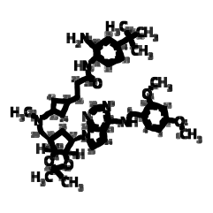 COc1ccc(CNc2ncnc3c2ccn3[C@@H]2C[C@H](CN(C)C3CC(CCC(=O)Nc4ccc(C(C)(C)C)cc4N)C3)[C@H]3OC(C)(C)O[C@H]32)c(OC)c1